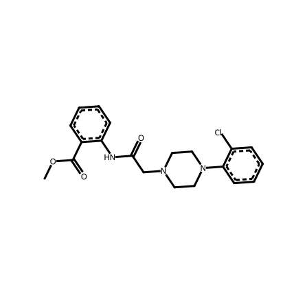 COC(=O)c1ccccc1NC(=O)CN1CCN(c2ccccc2Cl)CC1